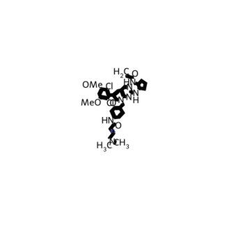 C=CC(=O)NC1CCCC1Nc1ncc2cc(-c3c(Cl)c(OC)cc(OC)c3Cl)c(=O)n(Cc3ccc(NC(=O)/C=C/CN(C)C)cc3)c2n1